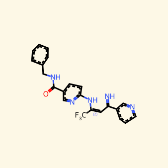 N=C(/C=C(\Nc1ccc(C(=O)NCc2ccccc2)cn1)C(F)(F)F)c1cccnc1